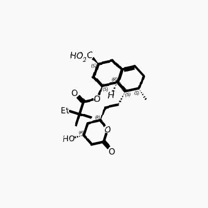 CCC(C)(C)C(=O)O[C@H]1C[C@@H](C(=O)O)CC2=CC[C@H](C)[C@H](CC[C@@H]3C[C@@H](O)CC(=O)O3)[C@H]21